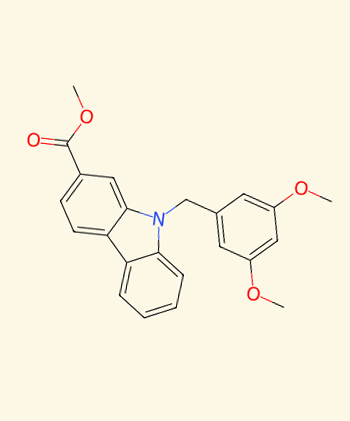 COC(=O)c1ccc2c3ccccc3n(Cc3cc(OC)cc(OC)c3)c2c1